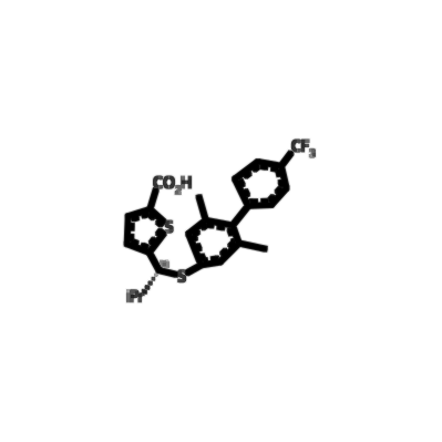 Cc1cc(S[C@@H](c2ccc(C(=O)O)s2)C(C)C)cc(C)c1-c1ccc(C(F)(F)F)cc1